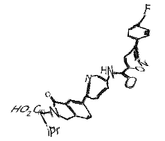 CC(C)[C@@H](C(=O)O)N1Cc2ccc(-c3ccc(NC(=O)c4cc(-c5ccc(F)cc5)no4)cn3)cc2C1=O